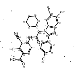 N#Cc1c(NC(=O)[C@H](C2CCCCC2)n2c(-c3ccc(Cl)cc3)nc3cc(F)c(F)cc32)ccc(C(=O)O)c1F